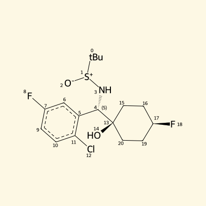 CC(C)(C)[S+]([O-])N[C@@H](c1cc(F)ccc1Cl)[C@]1(O)CC[C@@H](F)CC1